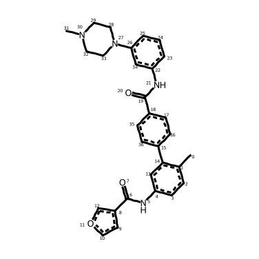 Cc1ccc(NC(=O)c2ccoc2)cc1-c1ccc(C(=O)Nc2cccc(N3CCN(C)CC3)c2)cc1